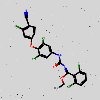 CCO/C(=N\C(=O)Nc1cc(Cl)c(Oc2ccc(C#N)c(Cl)c2)c(Cl)c1)c1c(Cl)cccc1Cl